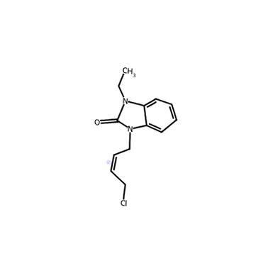 CCn1c(=O)n(C/C=C\CCl)c2ccccc21